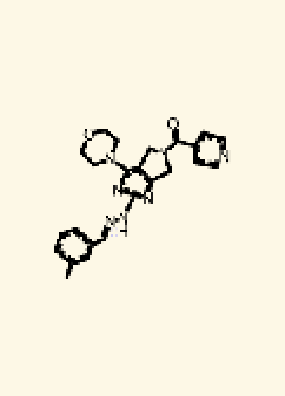 Cc1cccc(/C=N/Nc2nc3c(c(N4CCOCC4)n2)CN(C(=O)c2ccncc2)C3)c1